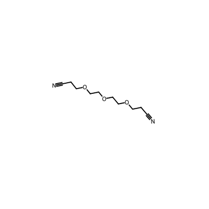 N#CCCOCCOCCOCCC#N